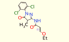 CCO/C=C/C(=O)NC1=NN(c2c(Cl)cccc2Cl)C(=O)C1C